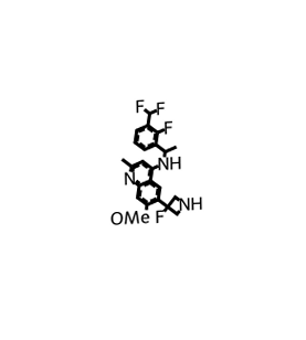 COc1cc2nc(C)cc(NC(C)c3cccc(C(F)F)c3F)c2cc1C1(F)CNC1